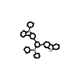 c1ccc(N(c2ccccc2)c2cc(-c3ccc4c(c3)oc3ccccc34)cc(-c3ccc4c(c3)c3ccccc3n4-c3ccccc3)c2)cc1